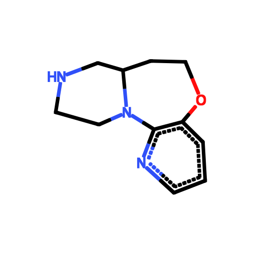 c1cnc2c(c1)OCCC1CNCCN21